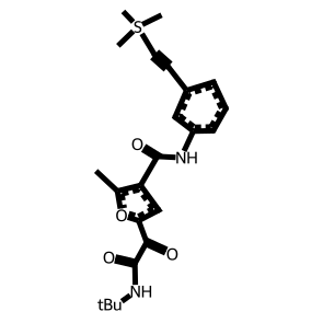 Cc1oc(C(=O)C(=O)NC(C)(C)C)cc1C(=O)Nc1cccc(C#CS(C)(C)C)c1